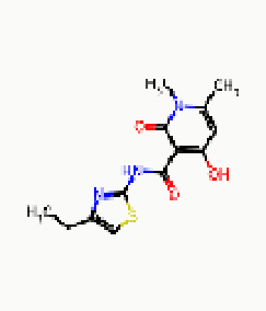 CCc1csc(NC(=O)c2c(O)cc(C)n(C)c2=O)n1